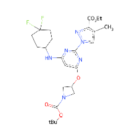 CCOC(=O)c1nn(-c2nc(NC3CCC(F)(F)CC3)cc(OC3CN(C(=O)OC(C)(C)C)C3)n2)cc1C